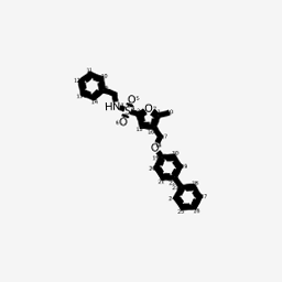 Cc1oc(S(=O)(=O)NCc2ccccc2)cc1COc1ccc(-c2ccccc2)cc1